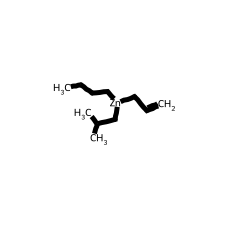 C=C[CH2][Zn]([CH2]CCC)[CH2]C(C)C